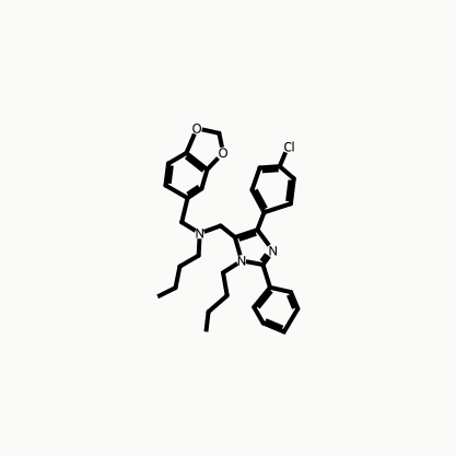 CCCCN(Cc1ccc2c(c1)OCO2)Cc1c(-c2ccc(Cl)cc2)nc(-c2ccccc2)n1CCCC